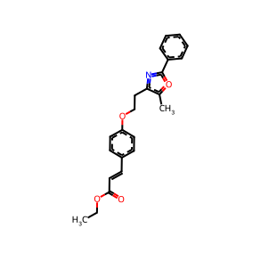 CCOC(=O)C=Cc1ccc(OCCc2nc(-c3ccccc3)oc2C)cc1